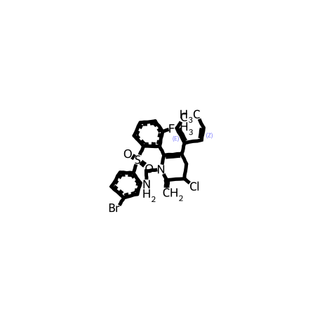 C=C1C(Cl)CC(C(/C=C\C)=C/C)=C(c2c(F)cccc2S(=O)(=O)c2ccc(Br)cc2)N1CN